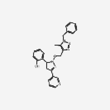 Cc1c(CON2N=C(c3cccnc3)CC2c2ccccc2O)nnn1Cc1ccccc1